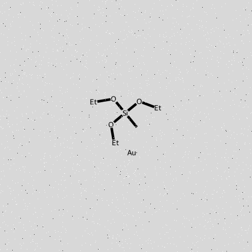 CCO[Si](C)(OCC)OCC.[Au]